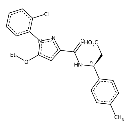 CCOc1cc(C(=O)N[C@@H](CC(=O)O)c2ccc(C)cc2)nn1-c1ccccc1Cl